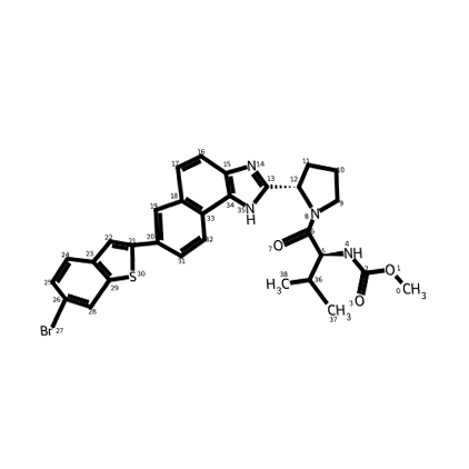 COC(=O)N[C@H](C(=O)N1CCC[C@H]1c1nc2ccc3cc(-c4cc5ccc(Br)cc5s4)ccc3c2[nH]1)C(C)C